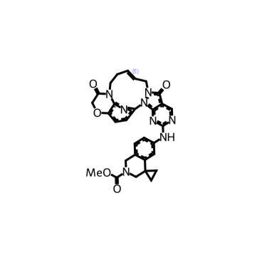 COC(=O)N1Cc2ccc(Nc3ncc4c(=O)n5n(c4n3)-c3ccc4c(n3)N(CC/C=C/C5)C(=O)CO4)cc2C2(CC2)C1